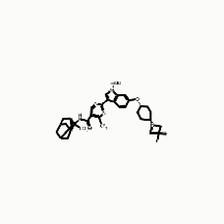 CC[C@@H](C)n1cc(-c2ncc(C(=O)NC3(C(=O)O)C4CC5CC(C4)CC3C5)c(C(F)(F)F)n2)c2ccc(O[C@H]3CC[C@H](N4CC(F)(F)C4)CC3)cc21